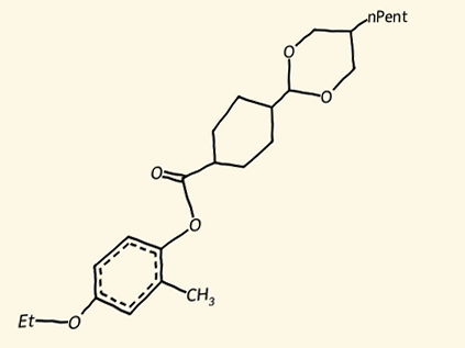 CCCCCC1COC(C2CCC(C(=O)Oc3ccc(OCC)cc3C)CC2)OC1